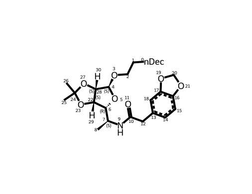 CCCCCCCCCCCCO[C@H]1O[C@H]([C@H](C)NC(=O)Cc2ccc3c(c2)OCO3)[C@@H]2OC(C)(C)O[C@H]12